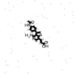 CC(=O)Nc1ccc(-c2csc3c(/C=C/C(=O)O)cnc(N)c23)cc1